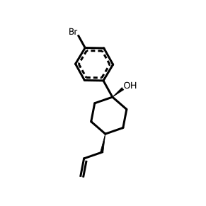 C=CC[C@H]1CC[C@](O)(c2ccc(Br)cc2)CC1